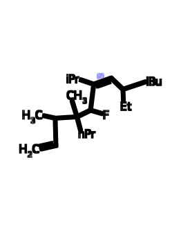 C=CC(C)C(C)(CCC)C(F)/C(=C\C(CC)C(C)CC)C(C)C